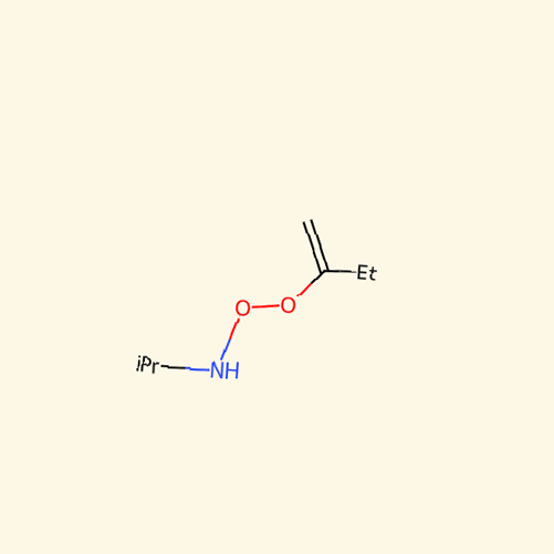 C=C(CC)OONC(C)C